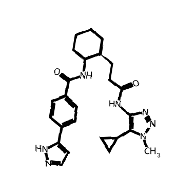 Cn1nnc(NC(=O)CC[C@@H]2CCCCC2NC(=O)c2ccc(-c3ccn[nH]3)cc2)c1C1CC1